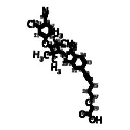 CC1(C)C(Oc2ccc(C#N)c(Cl)c2)C(C)(C)C1N1Cc2cc(C#CCCCOCC(=O)O)ccc2C1=O